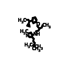 CCCC(CCNc1cc(C)ncc1CCCC(C)(C)C)COc1cccc(C(CC)C2CC2)c1